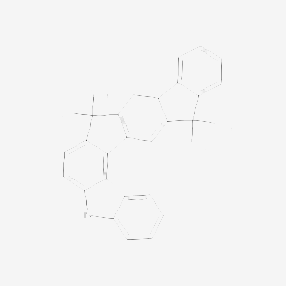 CC1(C)C2=CC3=C(CC2c2ccccc21)C(C)(C)c1ccc2[nH]c4ccccc4c2c13